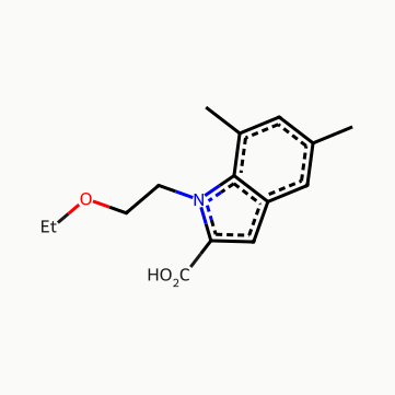 CCOCCn1c(C(=O)O)cc2cc(C)cc(C)c21